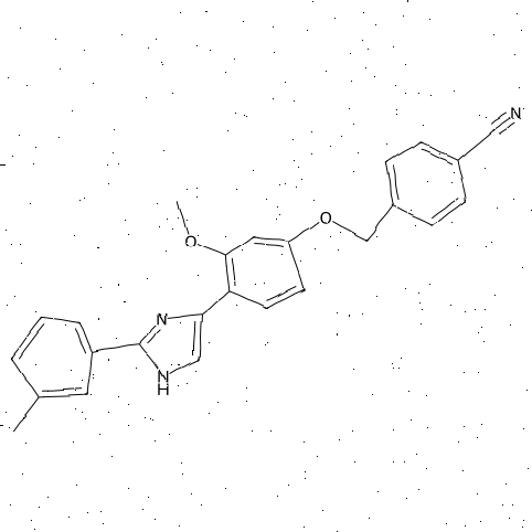 COc1cc(OCc2ccc(C#N)cc2)ccc1-c1c[nH]c(-c2cccc(C)c2)n1